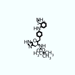 CC(C)(C)OC(=O)N[C@@H](Cc1c[nH]cn1)C(=O)Cc1ccc(Nc2ccccc2SN)cc1